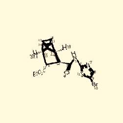 CCOC(=O)[C@H]1[C@H](C(=O)Nc2ncc(Br)s2)[C@@H]2C=C[C@H]1C21CC1